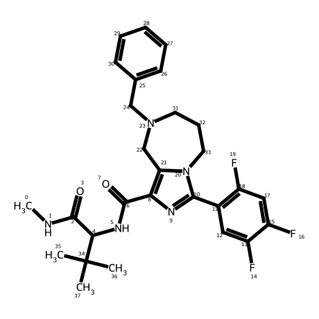 CNC(=O)C(NC(=O)c1nc(-c2cc(F)c(F)cc2F)n2c1CN(Cc1ccccc1)CCC2)C(C)(C)C